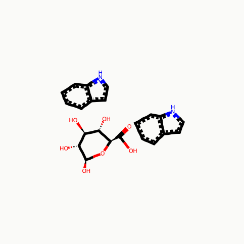 O=C(O)[C@H]1O[C@@H](O)[C@H](O)[C@@H](O)[C@@H]1O.c1ccc2[nH]ccc2c1.c1ccc2[nH]ccc2c1